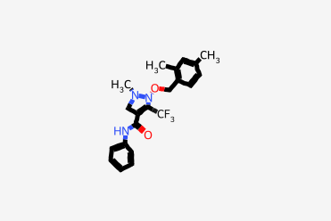 Cc1ccc(CON2C(C(F)(F)F)=C(C(=O)Nc3ccccc3)CN2C)c(C)c1